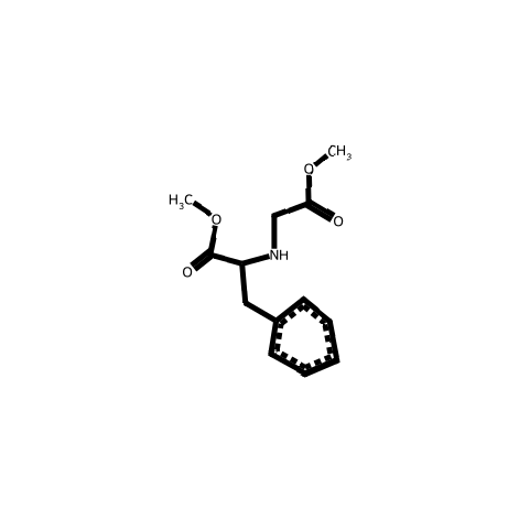 COC(=O)CNC(Cc1ccccc1)C(=O)OC